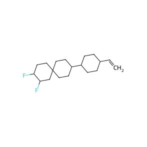 C=CC1CCC(C2CCC3(CCC(F)C(F)C3)CC2)CC1